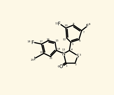 O=C1CSC(c2cc(F)cc(F)c2)N1c1ccc(F)c(I)c1